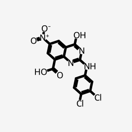 O=C(O)c1cc([N+](=O)[O-])cc2c(O)nc(Nc3ccc(Cl)c(Cl)c3)nc12